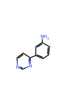 Nc1[c]ccc(-c2ccncn2)c1